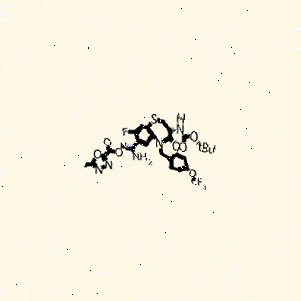 Cc1nnc(C(=O)O/N=C(\N)c2cc3c(cc2F)SC[C@H](NC(=O)OC(C)(C)C)C(=O)N3Cc2ccc(OC(F)(F)F)cc2)o1